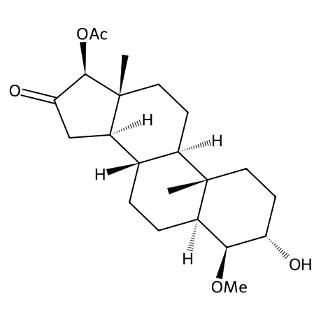 CO[C@H]1[C@H]2CC[C@H]3[C@@H](CC[C@@]4(C)[C@H](OC(C)=O)C(=O)C[C@H]34)[C@]2(C)CC[C@@H]1O